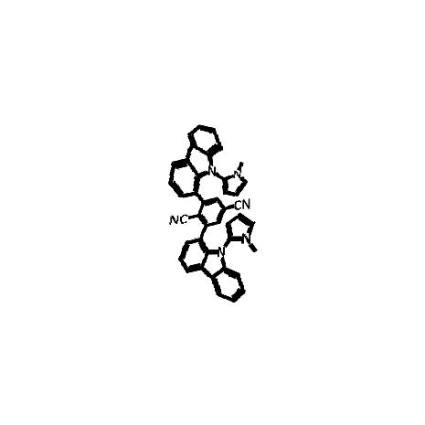 Cn1cccc1-n1c2ccccc2c2cccc(-c3cc(C#N)cc(-c4cccc5c6ccccc6n(-c6cccn6C)c45)c3C#N)c21